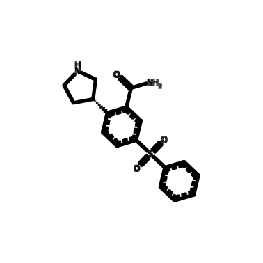 NC(=O)c1cc(S(=O)(=O)c2ccccc2)ccc1[C@@H]1CCNC1